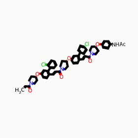 C=CC(=O)N1CCC(Oc2ccc(/C=C/C(=O)N3CCC(Oc4ccc(/C=C/C(=O)N5CCC(Oc6ccc(NC(C)=O)cc6)CC5)c(-c5ccc(Cl)cc5)c4)CC3)c(-c3ccccc3Cl)c2)CC1